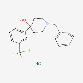 Cl.OC1(c2cccc(C(F)(F)F)c2)CCN(Cc2ccccc2)CC1